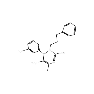 COC1=NC(C)=C(C(=O)O)C(c2cccc([N+](=O)[O-])c2)N1CCCc1ccccc1